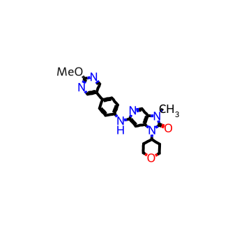 COc1ncc(-c2ccc(Nc3cc4c(cn3)n(C)c(=O)n4C3CCOCC3)cc2)cn1